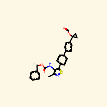 Cc1nsc(-c2ccc(-c3ccc(C4(OC=O)CC4)cc3)cc2)c1NC(=O)O[C@@H](C)c1ccccc1